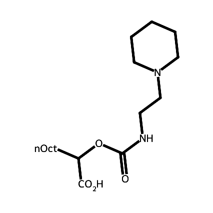 CCCCCCCCC(OC(=O)NCCN1CCCCC1)C(=O)O